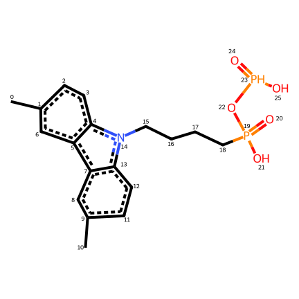 Cc1ccc2c(c1)c1cc(C)ccc1n2CCCCP(=O)(O)O[PH](=O)O